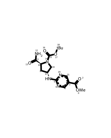 COC(=O)c1cnc(N[C@@H]2C[C@@H](C(N)=O)N(C(=O)OC(C)(C)C)C2)nc1